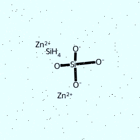 [O-][Si]([O-])([O-])[O-].[SiH4].[Zn+2].[Zn+2]